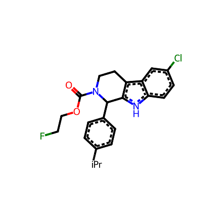 CC(C)c1ccc(C2c3[nH]c4ccc(Cl)cc4c3CCN2C(=O)OCCF)cc1